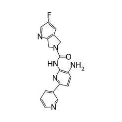 Nc1ccc(-c2cccnc2)nc1NC(=O)N1Cc2cc(F)cnc2C1